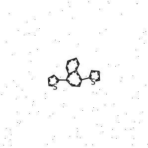 c1csc(-c2ccc(-c3cccs3)c3ccccc23)c1